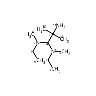 CCN(C)C(N(C)CC)C(C)(C)N